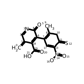 C=C1C=NC(=O)C(C2=C(C)CC(=S)C([N+](=O)[O-])=C2)=C1C(=O)O